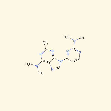 CN(C)c1nccc(-n2cnc3c(N(C)C)nc(C(F)(F)F)nc32)n1